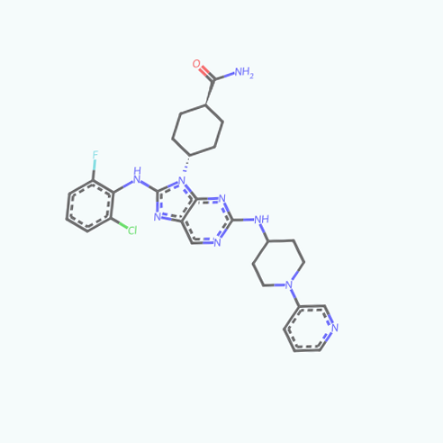 NC(=O)[C@H]1CC[C@H](n2c(Nc3c(F)cccc3Cl)nc3cnc(NC4CCN(c5cccnc5)CC4)nc32)CC1